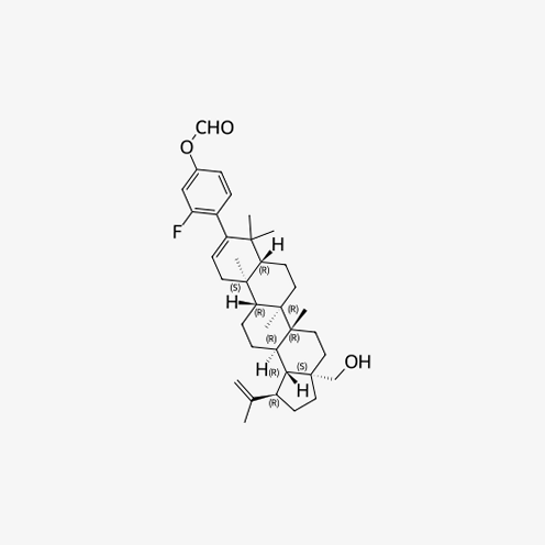 C=C(C)[C@@H]1CC[C@]2(CO)CC[C@]3(C)[C@H](CC[C@@H]4[C@@]5(C)CC=C(c6ccc(OC=O)cc6F)C(C)(C)[C@@H]5CC[C@]43C)[C@@H]12